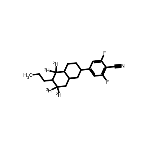 [2H]C1([2H])CC2CC(c3cc(F)c(C#N)c(F)c3)CCC2C([2H])([2H])C1CCC